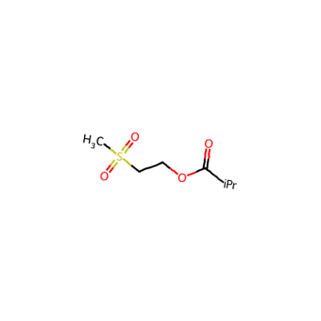 CC(C)C(=O)OCCS(C)(=O)=O